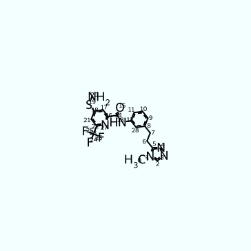 Cn1cnnc1CCc1cccc(NC(=O)c2cc(SN)cc(C(F)(F)F)n2)c1